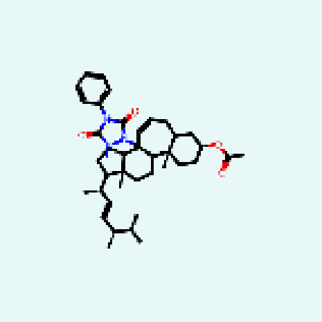 CC(=O)O[C@H]1CC[C@@]2(C)C(CC=CC3(n4[nH]c(=O)n(-c5ccccc5)c4=O)C2CC[C@]2(C)C([C@H](C)/C=C/[C@H](C)C(C)C)CCC32)C1